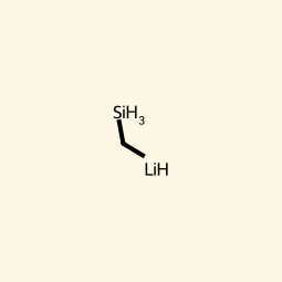 CC[SiH3].[LiH]